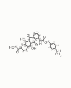 CNc1ccc(COC(=O)Nc2cccc3c2C(=O)c2c(O)c4c(c(O)c2C3=O)CC(C(=O)CO)CC4)cc1